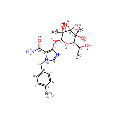 CC(=O)C(O)[C@H]1O[C@@H](Oc2ncn(Cc3ccc([N+](=O)[O-])cc3)c2C(N)=O)[C@@](O)(C(C)=O)[C@](O)(C(C)=O)[C@@]1(O)C(C)=O